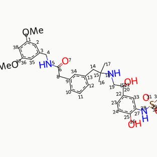 COc1cc(CNC(=O)Cc2cccc(CC(C)(C)NC[C@@H](O)c3ccc(O)c(NS(C)(=O)=O)c3)c2)cc(OC)c1